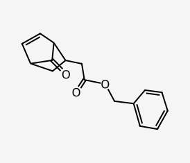 O=C(CC1CC2C=CC1C2=O)OCc1ccccc1